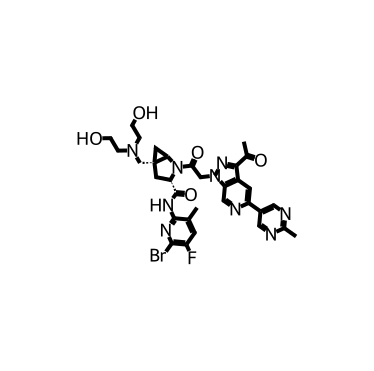 CC(=O)c1nn(CC(=O)N2C3C[C@]3(CN(CCO)CCO)C[C@H]2C(=O)Nc2nc(Br)c(F)cc2C)c2cnc(-c3cnc(C)nc3)cc12